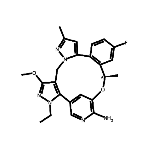 CCn1nc(OC)c2c1-c1cnc(N)c(c1)O[C@H](C)c1cc(F)ccc1-c1cc(C)nn1C2